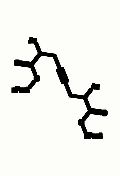 CCCCCOC(=O)C(CC#CCC(C(C)=O)C(=O)OCCCCC)C(C)=O